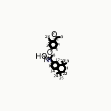 CC(=O)c1ccc(OC/C(=N\O)c2ccc3c(c2)C(C)(C)CCC3(C)C)cc1C